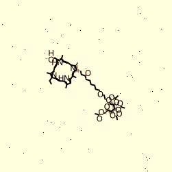 CCC1=C(C)c2cc3[nH]c(cc4nc(c(C)c5cc(C)c(cc1n2)[nH]5)[C@@H](CCC(=O)CCCCCCOCCO[C@@H]1O[C@H](COC(C)=O)[C@@H](OC(C)=O)[C@H](OC(C)=O)[C@H]1OC(C)=O)[C@@H]4C)c(C)c3CO